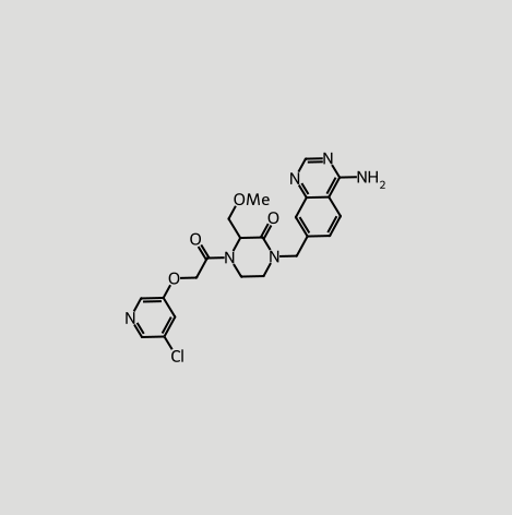 COCC1C(=O)N(Cc2ccc3c(N)ncnc3c2)CCN1C(=O)COc1cncc(Cl)c1